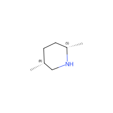 C[C@@H]1CC[C@H](C)NC1